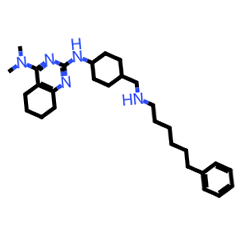 CN(C)c1nc(NC2CCC(CNCCCCCCc3ccccc3)CC2)nc2c1CCCC2